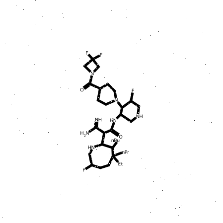 CCCCC1C(C(C(=N)N)C(=O)NC2CNCC(F)C2N2CCC(C(=O)N3CC(F)(F)C3)CC2)NCC(F)CCC1(CC)CCC